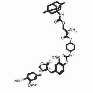 COc1ccc(C[C@@H]2COC(=O)[C@H]2Cc2ccc(OC(=O)N[C@H]3CC[C@H](OC(=O)[C@H](N)COC(=O)NC45CC6CC(C)(CC(C)(C6)C4)C5)CC3)c(OC)c2)cc1OC